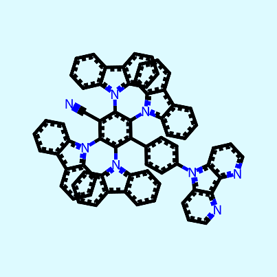 N#Cc1c(-n2c3ccccc3c3ccccc32)c(-n2c3ccccc3c3ccccc32)c(-c2ccc(-n3c4cccnc4c4ncccc43)cc2)c(-n2c3ccccc3c3ccccc32)c1-n1c2ccccc2c2ccccc21